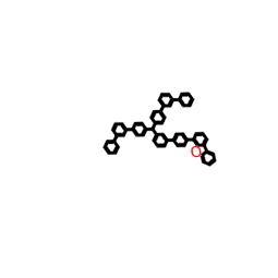 c1ccc(-c2cccc(-c3ccc(C(c4ccc(-c5cccc(-c6ccccc6)c5)cc4)c4cccc(-c5ccc(-c6cccc7c6oc6ccccc67)cc5)c4)cc3)c2)cc1